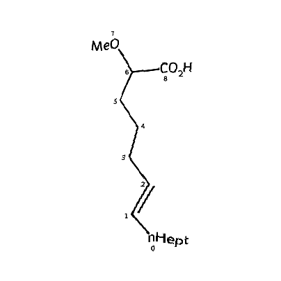 CCCCCCC/C=C/CCCC(OC)C(=O)O